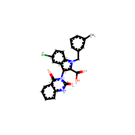 Cc1cccc(Cn2c(C(=O)O)c(-n3c(=O)[nH]c4ccccc4c3=O)c3cc(Br)ccc32)c1